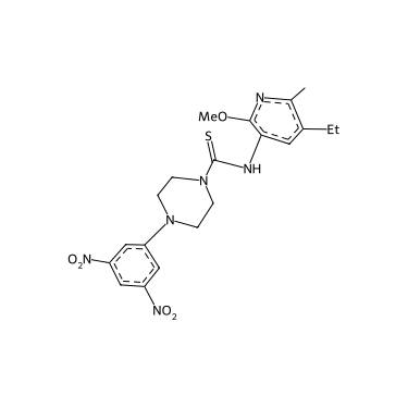 CCc1cc(NC(=S)N2CCN(c3cc([N+](=O)[O-])cc([N+](=O)[O-])c3)CC2)c(OC)nc1C